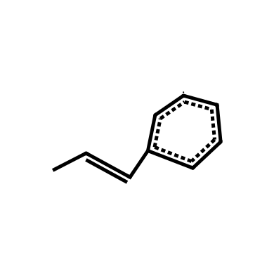 CC=Cc1c[c]ccc1